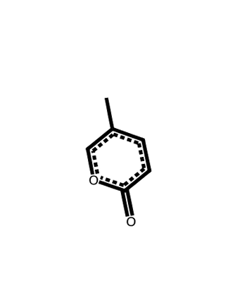 Cc1ccc(=O)oc1